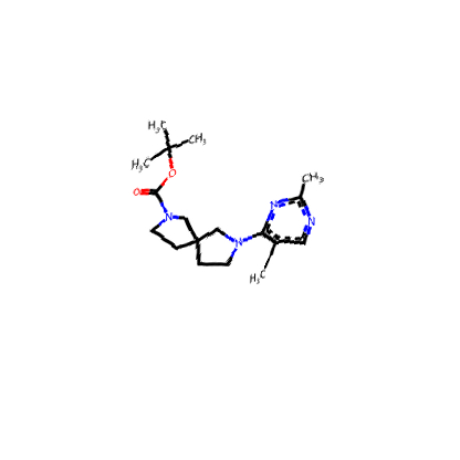 Cc1ncc(C)c(N2CCC3(CCN(C(=O)OC(C)(C)C)C3)C2)n1